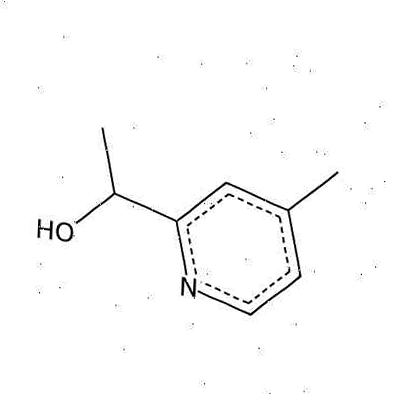 Cc1ccnc(C(C)O)c1